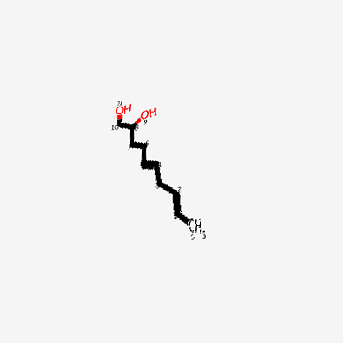 CC=CCC=CCCC(O)CO